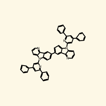 c1ccc(-c2cc(-c3ccccc3)nc(-n3c4ccc(-c5ccc6c(c5)c5ncccc5n6-c5cc(-c6ccccc6)cc(-c6ccccc6)n5)cc4c4ncccc43)c2)cc1